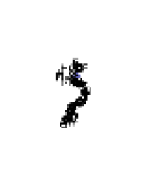 NC1=C(/C=C(\N)c2cc(F)cc(F)c2O)N2CC(Oc3ccc(CN4CCN(c5ccc6c(c5)C(=O)N(C5CCC(=O)NC5=O)C6)CC4)cn3)CC2CN1